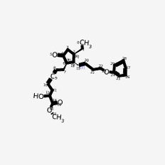 CC[C@@H]1CC(=O)[C@H](CC=C=CCC(O)C(=O)OC)[C@H]1/C=C/CCOc1ccccc1